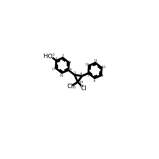 Oc1ccc(C2C(c3ccccc3)C2(Cl)Cl)cc1